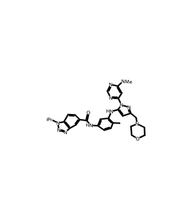 CNc1cc(-n2nc(CN3CCOCC3)cc2Nc2cc(NC(=O)c3ccc4c(c3)nnn4C(C)C)ccc2C)ncn1